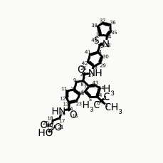 CC(C)(C)c1ccc(C(Cc2ccc(C(=O)NCCS(=O)(=O)O)cc2)C(=O)Nc2ccc(-c3nc4ccccc4s3)cc2)cc1